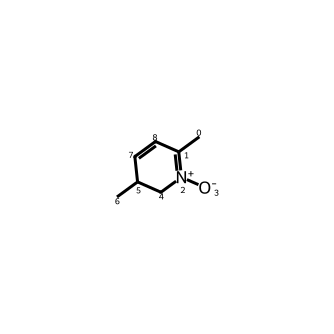 CC1=[N+]([O-])CC(C)C=C1